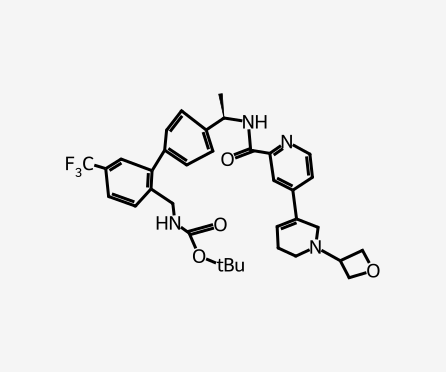 C[C@@H](NC(=O)c1cc(C2=CCCN(C3COC3)C2)ccn1)c1ccc(-c2cc(C(F)(F)F)ccc2CNC(=O)OC(C)(C)C)cc1